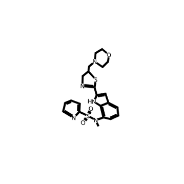 CN(c1cccc2cc(C3=NCC(CN4CCOCC4)S3)[nH]c12)S(=O)(=O)c1ccccn1